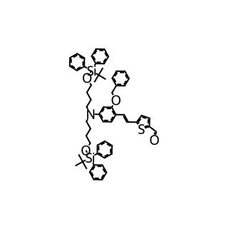 CC(C)(C)[Si](OCCCCN(CCCCO[Si](c1ccccc1)(c1ccccc1)C(C)(C)C)c1ccc(/C=C/c2ccc(C=O)s2)c(OCc2ccccc2)c1)(c1ccccc1)c1ccccc1